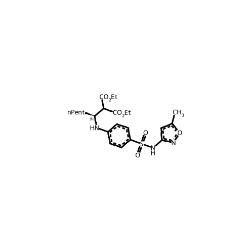 CCCCC[C@H](Nc1ccc(S(=O)(=O)Nc2cc(C)on2)cc1)C(C(=O)OCC)C(=O)OCC